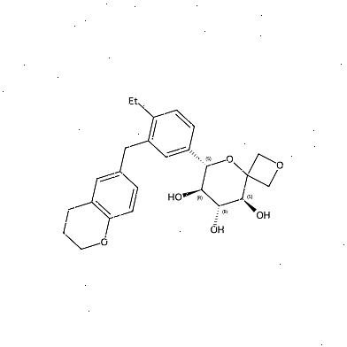 CCc1ccc([C@@H]2OC3(COC3)[C@@H](O)[C@H](O)[C@H]2O)cc1Cc1ccc2c(c1)CCCO2